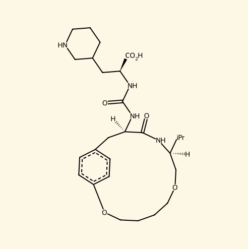 CC(C)[C@H]1COCCCCOc2ccc(cc2)C[C@@H](NC(=O)N[C@@H](CC2CCCNC2)C(=O)O)C(=O)N1